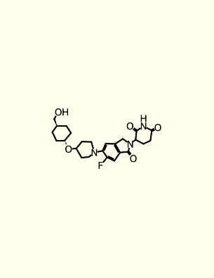 O=C1CCC(N2Cc3cc(N4CCC(O[C@H]5CC[C@H](CO)CC5)CC4)c(F)cc3C2=O)C(=O)N1